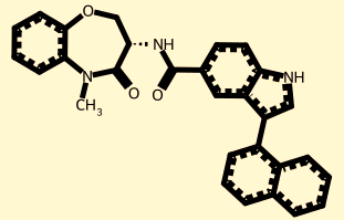 CN1C(=O)[C@@H](NC(=O)c2ccc3[nH]cc(-c4cccc5ccccc45)c3c2)COc2ccccc21